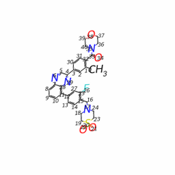 Cc1cc(-c2cnc3cccc(-c4ccc(CN5CCS(=O)(=O)CC5)c(F)c4)c3n2)ccc1C(=O)N1CCOCC1